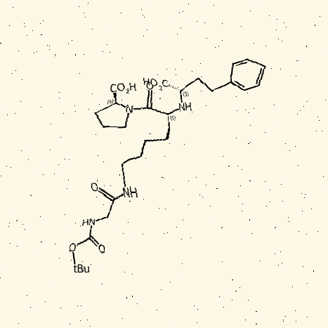 CC(C)(C)OC(=O)NCC(=O)NCCCC[C@H](N[C@@H](CCc1ccccc1)C(=O)O)C(=O)N1CCC[C@H]1C(=O)O